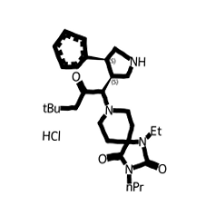 CCCN1C(=O)N(CC)C2(CCN(C(C(=O)CC(C)(C)C)[C@@H]3CNC[C@@H]3c3ccccc3)CC2)C1=O.Cl